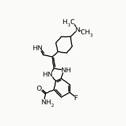 CN(C)C1CCC(/C(C=N)=C2\Nc3cc(F)cc(C(N)=O)c3N2)CC1